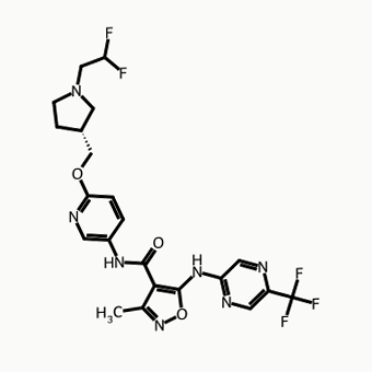 Cc1noc(Nc2cnc(C(F)(F)F)cn2)c1C(=O)Nc1ccc(OC[C@@H]2CCN(CC(F)F)C2)nc1